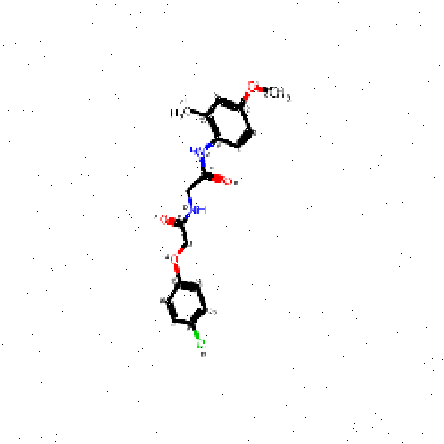 COc1ccc(NC(=O)CNC(=O)COc2ccc(Cl)cc2)c(C)c1